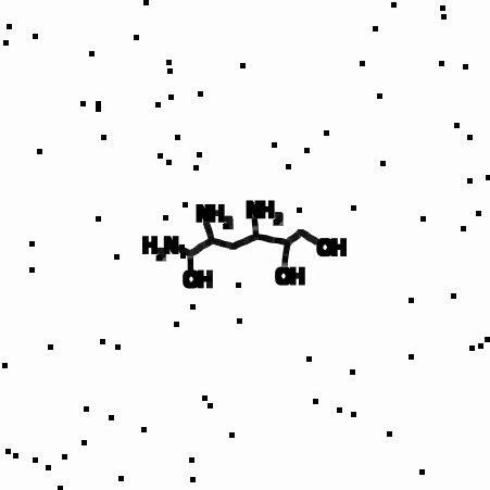 NC(O)C(N)CC(N)C(O)CO